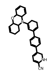 N#CC1=CC=C(c2ccc(C3=CCCC(N4C5C=CC=CC5OC5C=CCCC54)=C3)cc2)CN1